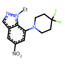 CCn1ncc2cc([N+](=O)[O-])cc(N3CCC(F)(F)CC3)c21